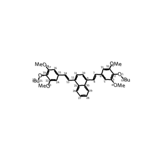 CCC(C)Oc1c(OC)cc(/C=C/c2ccc(/C=C/c3cc(OC)c(OC(C)CC)c(OC)c3)c3ccccc23)cc1OC